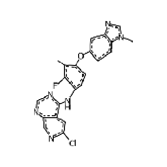 Cc1c(Oc2ccc3c(c2)ncn3C)ccc(Nc2ncnc3cnc(Cl)cc23)c1F